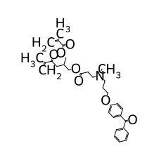 C=C(C)C(=O)CC(COC(=O)CCN(C)CCCOc1ccc(C(=O)c2ccccc2)cc1)COC(=O)C(=C)C